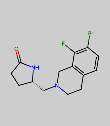 O=C1CC[C@@H](CN2CCc3ccc(Br)c(F)c3C2)N1